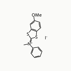 COc1ccc2s/c(=[N+](/C)c3ccccc3)sc2c1.[I-]